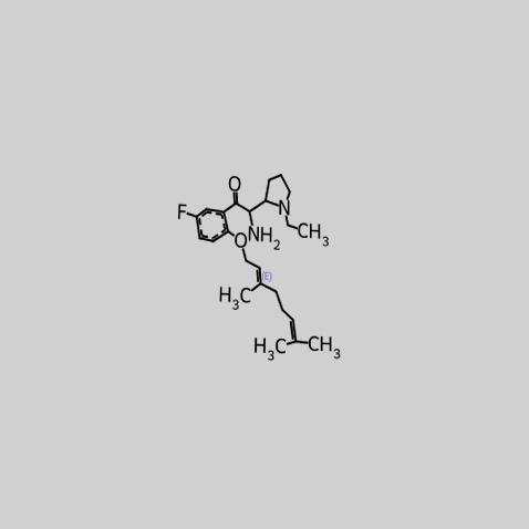 CCN1CCCC1C(N)C(=O)c1cc(F)ccc1OC/C=C(\C)CCC=C(C)C